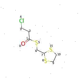 O=C(CCCl)SCC1SCCS1